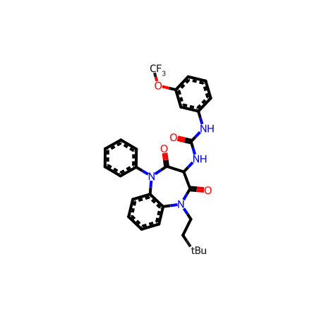 CC(C)(C)CCN1C(=O)C(NC(=O)Nc2cccc(OC(F)(F)F)c2)C(=O)N(c2ccccc2)c2ccccc21